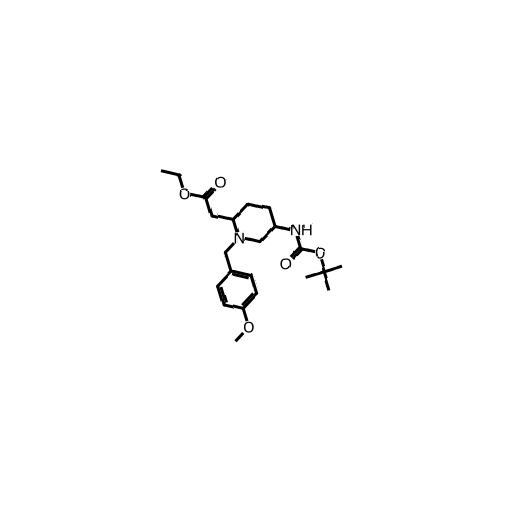 CCOC(=O)CC1CCC(NC(=O)OC(C)(C)C)CN1Cc1ccc(OC)cc1